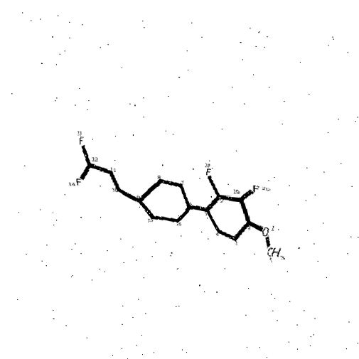 COC1CCC(C2CCC(CCC(F)F)CC2)C(F)C1F